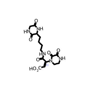 O=C(O)/C=C(\C(=O)NCCCCC1NC(=O)CNC1=O)N1CCNC(=O)C1=O